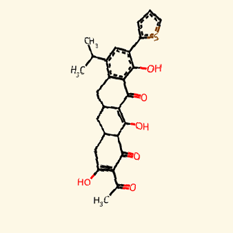 CC(=O)C1=C(O)CC2CC3Cc4c(C(C)C)cc(-c5cccs5)c(O)c4C(=O)C3=C(O)C2C1=O